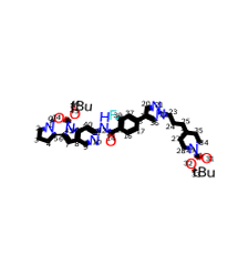 CN1CCC[C@@H]1c1cc2cnc(NC(=O)c3ccc(-c4cnn(CCCC5CCN(C(=O)OC(C)(C)C)CC5)c4)cc3F)cc2n1C(=O)OC(C)(C)C